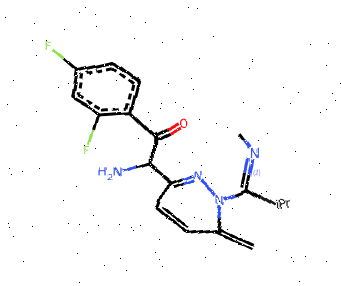 C=C1C=CC(C(N)C(=O)c2ccc(F)cc2F)=NN1/C(=N\C)C(C)C